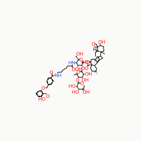 C[C@@H]1CCC2(C(=O)O[C@@H]3O[C@H](CO)C(NC(=O)CCCCCNC(=O)c4ccc(COc5cccc(O)c5C=O)cc4)C(O)C3O[C@@H]3O[C@H](C)C(O[C@@H]4OC[C@@H](O)C(O)C4O)C(O)C3O)C(C1)C1=C3CC4C5(C)CCC(O)C(C)(C=O)[C@@H]5CC[C@@]34[C@]1(C)C[C@H]2O